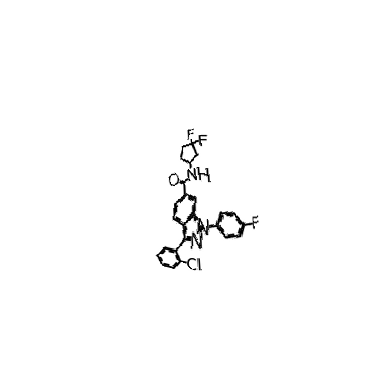 O=C(NC1CCC(F)(F)C1)c1ccc2c(-c3ccccc3Cl)nn(-c3ccc(F)cc3)c2c1